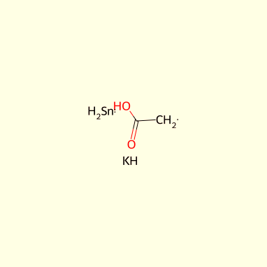 [CH2]C(=O)O.[KH].[SnH2]